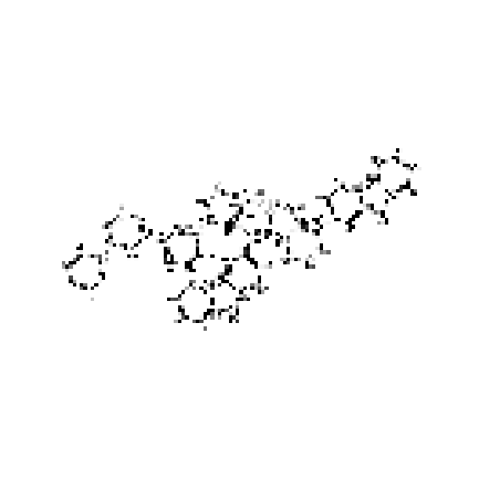 c1ccc(-c2cccc(-c3nc(-c4ccccc4)nc(-c4cccc5oc6ccc(-c7cccc8sc9c(-c%10ccc%11c(c%10)sc%10ccccc%10%11)cccc9c78)cc6c45)n3)c2)cc1